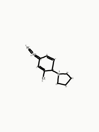 CCC1=CC(=[N+]=[N-])C=CC1N1CCCC1